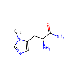 Cn1cncc1C[C@H](N)C(N)=O